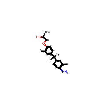 CCC(CC)(c1ccc(N)c(C)c1)c1ccc(OCC(O)C(C)(C)C)c(C)c1